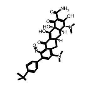 CN(C)c1cc(-c2ccc(C(C)(C)C)cc2)c(N=O)c2c1C[C@H]1C[C@H]3[C@H](N(C)C)C(O)=C(C(N)=O)C(=O)[C@@]3(O)C(O)=C1C2=O